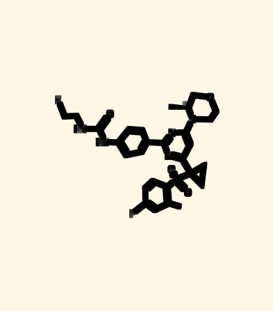 Cc1cc(F)ccc1S(=O)(=O)C1(c2cc(N3CCOC[C@@H]3C)nc(-c3ccc(NC(=O)NCCF)cc3)n2)CC1